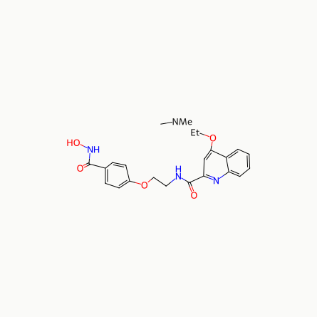 CCOc1cc(C(=O)NCCOc2ccc(C(=O)NO)cc2)nc2ccccc12.CNC